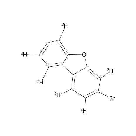 [2H]c1cc([2H])c2oc3c([2H])c(Br)c([2H])c([2H])c3c2c1[2H]